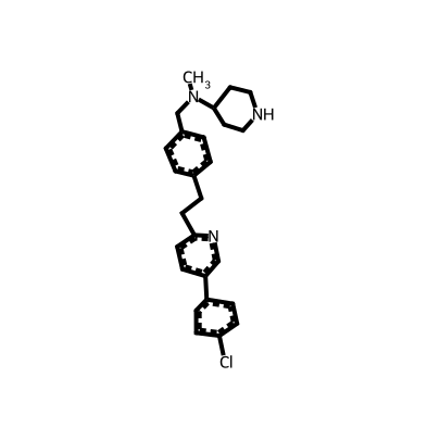 CN(Cc1ccc(CCc2ccc(-c3ccc(Cl)cc3)cn2)cc1)C1CCNCC1